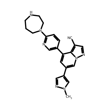 Cn1cc(-c2cc(-c3ccc(N4CCCNCC4)nc3)c3c(C#N)cnn3c2)cn1